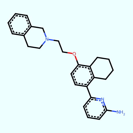 Nc1cccc(-c2ccc(OCCN3CCc4ccccc4C3)c3c2CCCC3)n1